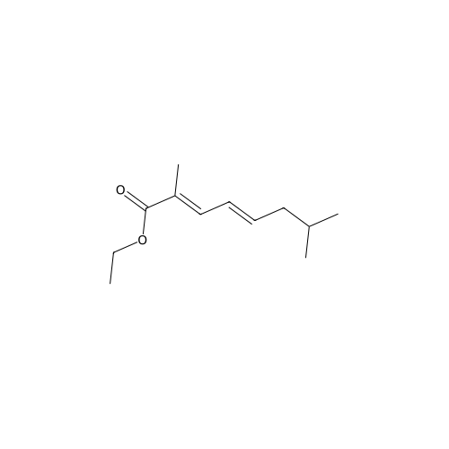 CCOC(=O)C(C)=CC=CCC(C)C